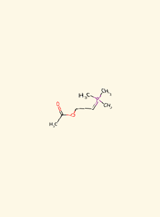 CC(=O)OCC=P(C)(C)C